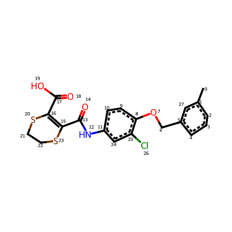 Cc1cccc(COc2ccc(NC(=O)C3=C(C(=O)O)SCCS3)cc2Cl)c1